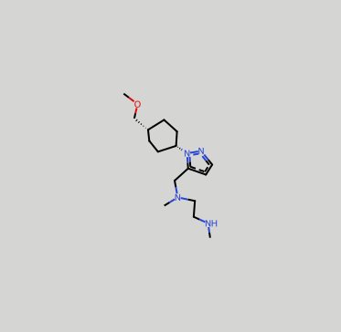 CNCCN(C)Cc1ccnn1[C@H]1CC[C@@H](COC)CC1